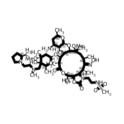 CC[C@H]1OC(=O)[C@H](C)[C@@H](O[C@H]2C[C@@](C)(OC)[C@@](O)(CN(C)CCN3CCC[C@H]3C)[C@H](C)O2)[C@H](C)[C@@H](O[C@@H]2O[C@H](C)C[C@H](N)[C@H]2O)[C@@](C)(OC)C[C@@H](C)C(=NO)[C@H](C)[C@H]2N(CCNS(C)(=O)=O)C(=O)O[C@]12C